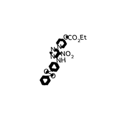 CCOC(=O)OC1CCN(c2ncnc(Nc3ccc(S(=O)(=O)c4ccccc4)cc3)c2[N+](=O)[O-])CC1